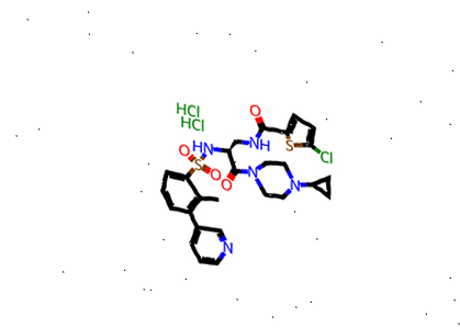 Cc1c(-c2cccnc2)cccc1S(=O)(=O)N[C@@H](CNC(=O)c1ccc(Cl)s1)C(=O)N1CCN(C2CC2)CC1.Cl.Cl